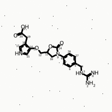 N=C(N)NCc1ccc(N2CC(COc3c[nH]cc3CC(=O)O)OC2=O)cc1